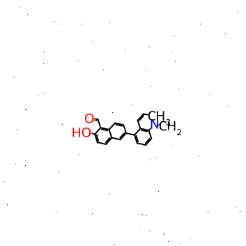 C=Nc1cccc(-c2ccc3c(C=O)c(O)ccc3c2)c1/C=C\C